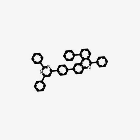 c1ccc(-c2cc(-c3ccc(-c4ccc5nc(-c6ccccc6)c6cccc(-c7ccccc7)c6c5c4)cc3)nc(-c3ccccc3)n2)cc1